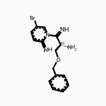 N=C([C@H](N)COCc1ccccc1)n1cc(Br)ccc1=N